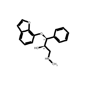 CNC[C@@H](O)[C@@H](Oc1cccc2ccoc12)c1ccccc1